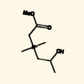 COC(=O)C[N+](C)(C)CC(C)O